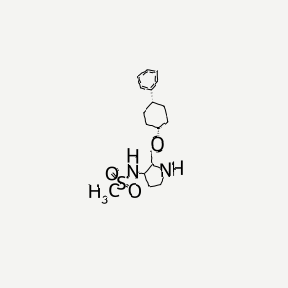 CS(=O)(=O)NC1CCNC1CO[C@H]1CC[C@@H](c2ccccc2)CC1